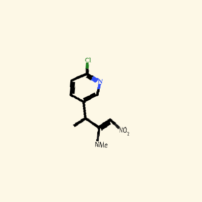 CNC(=C[N+](=O)[O-])C(C)c1ccc(Cl)nc1